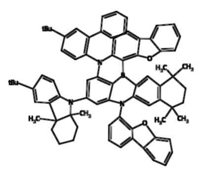 CC(C)(C)c1ccc(N2c3cc(N4c5ccc(C(C)(C)C)cc5C5(C)CCCCC45C)cc4c3B(c3cc5c(cc3N4c3cccc4c3oc3ccccc34)C(C)(C)CCC5(C)C)c3c2ccc2c3oc3ccccc32)c(-c2ccccc2)c1